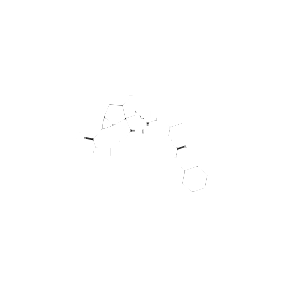 CC(OC(=O)NC1(C(=O)O)C(F)CC2C(C(=O)O)C21)OC(=O)OC1CCCCC1